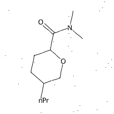 CCCC1CCC(C(=O)N(C)C)OC1